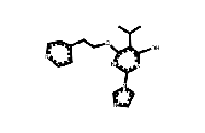 CC(C)c1c(O)nc(-n2ccnc2)nc1OCCc1ccncc1